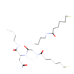 CNCCNC(=O)[C@H](CC(N)=O)N(C)C(=O)[C@H](CCCCNC(=O)CCCCCS)NC(=O)CCCCCS